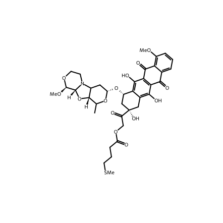 COc1cccc2c1C(=O)c1c(O)c3c(c(O)c1C2=O)C[C@@](O)(C(=O)COC(=O)CCCSC)C[C@@H]3O[C@H]1CC2[C@@H](O[C@@H]3[C@@H](OC)OCCN23)C(C)O1